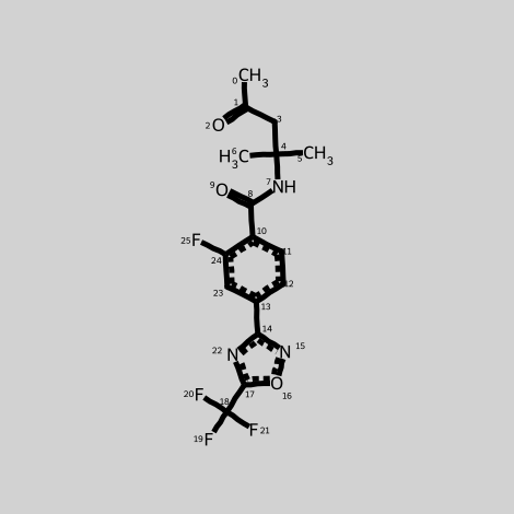 CC(=O)CC(C)(C)NC(=O)c1ccc(-c2noc(C(F)(F)F)n2)cc1F